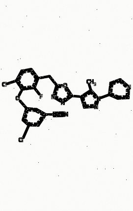 Cc1c(-c2nnc(Cc3ccc(Cl)c(Oc4cc(Cl)cc(C#N)c4)c3F)o2)cnn1-c1ccncc1